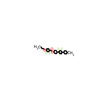 CCCCOc1ccc(C(=O)OC2CCC(c3ccc(C4CCC(C)CC4)c(F)c3F)CC2)c(F)c1F